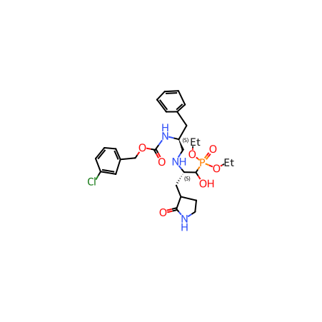 CCOP(=O)(OCC)C(O)[C@H](CC1CCNC1=O)NC[C@H](Cc1ccccc1)NC(=O)OCc1cccc(Cl)c1